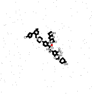 Cn1c(=O)c2nc3[nH]ccc3cc2n1-c1cc(N2CCN(CC3=C(c4ccc(Cl)cc4)CC(C)(C)CC3)CC2)ccc1C(=O)NS(=O)(=O)c1cc2c(c([N+](=O)[O-])c1)N[C@H](C1CCC(C)(O)CC1)CO2